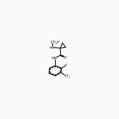 O=C(O)NC1(C(=O)Nc2cccc(C(F)(F)F)c2F)CC1